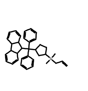 C=CC[Si](C)(C)C1CCC(C(c2ccccc2)(c2ccccc2)C2C3C=CC=CC3C3C=CC=CC32)C1